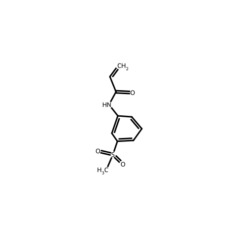 C=CC(=O)Nc1cccc(S(C)(=O)=O)c1